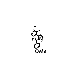 COc1ccc(C(=O)c2c(-c3c(F)ccc(F)c3C)ccn2C)cc1